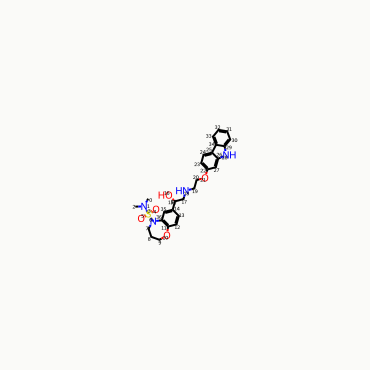 CN(C)S(=O)(=O)N1CCCOc2ccc([C@@H](O)CNCCOc3ccc4c(c3)[nH]c3ccccc34)cc21